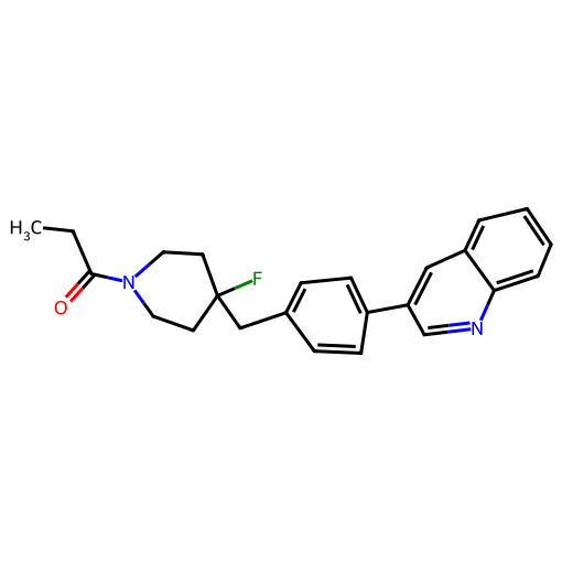 CCC(=O)N1CCC(F)(Cc2ccc(-c3cnc4ccccc4c3)cc2)CC1